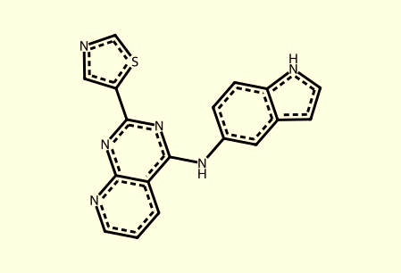 c1cnc2nc(-c3cncs3)nc(Nc3ccc4[nH]ccc4c3)c2c1